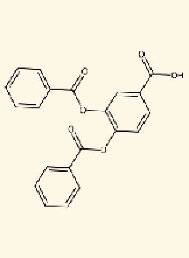 O=C(O)c1ccc(OC(=O)c2ccccc2)c(OC(=O)c2ccccc2)c1